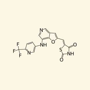 O=C1NC(=O)C(=Cc2cc3cncc(Nc4ccc(C(F)(F)F)nc4)c3o2)S1